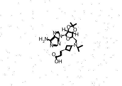 CC(C)N(C[C@H]1O[C@@H](n2cnc3c(N)ncnc32)[C@@H]2OC(C)(C)O[C@@H]21)[C@H]1C[C@H](C=CC(=O)O)C1